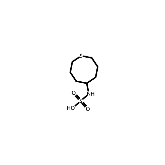 O=S(=O)(O)NC1CCCSCCC1